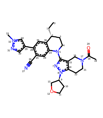 CC[C@@H]1CCN(c2nn([C@H]3CCOC3)c3c2CN(C(C)=O)CC3)c2cc(C#N)c(-c3cnn(C)c3)cc21